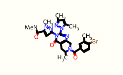 CNC(=O)c1cc(-n2c(-n3nc(C)cc3C)nc3c(c2=O)CC(C)N(C(=O)c2ccc(Br)c(C)c2)C3)nn1C